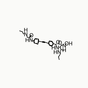 CCCNCC(=O)Nc1ccc(C#Cc2ccc(C(=O)NC(C(=O)NO)C(C)NCCC)cc2)cc1